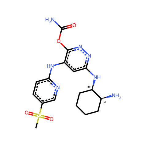 CS(=O)(=O)c1ccc(Nc2cc(N[C@@H]3CCCC[C@@H]3N)nnc2OC(N)=O)nc1